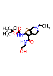 CCN1CCc2c(sc(NC(=O)OC(C)(C)C)c2C(=O)NCCO)C1